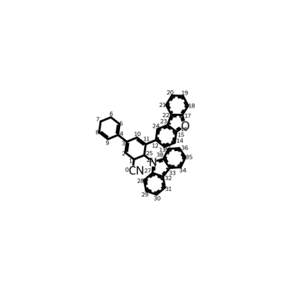 N#CC1C=C(C2=CCCC=C2)C=C(c2ccc3oc4ccccc4c3c2)C1n1c2ccccc2c2ccccc21